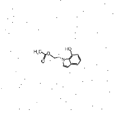 CC(=O)OCCn1ccc2cccc(O)c21